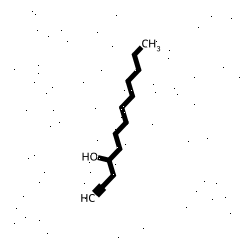 C#CCC(O)CCCCCCCCC